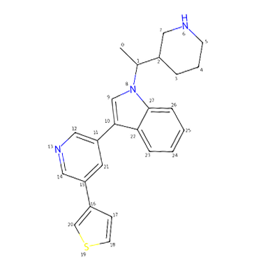 CC(C1CCCNC1)n1cc(-c2cncc(-c3ccsc3)c2)c2ccccc21